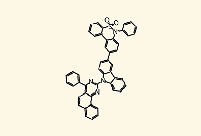 O=S1(=O)c2ccccc2-c2cc(-c3ccc4c(c3)c3ccccc3n4-c3nc(-c4ccccc4)c4ccc5ccccc5c4n3)ccc2N1c1ccccc1